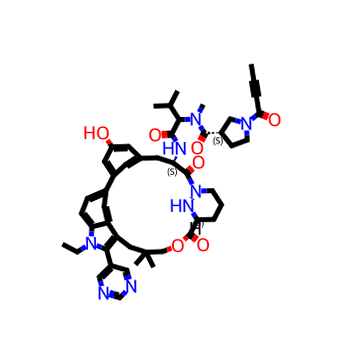 CC#CC(=O)N1CC[C@H](C(=O)N(C)C(C(=O)N[C@H]2Cc3cc(O)cc(c3)-c3ccc4c(c3)c(c(-c3cncnc3)n4CC)CC(C)(C)COC(=O)[C@@H]3CCCN(N3)C2=O)C(C)C)C1